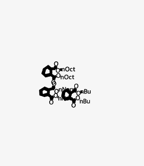 CCCCCCCCCOC(=O)c1ccccc1C(=O)OCCCCCCCCC.CCCCCCCCOC(=O)c1ccccc1C(=O)OCCCCCCCC.CCCCOC(=O)c1ccccc1C(=O)OCCCC